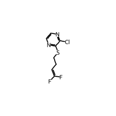 FC(F)=CCCSc1nccnc1Cl